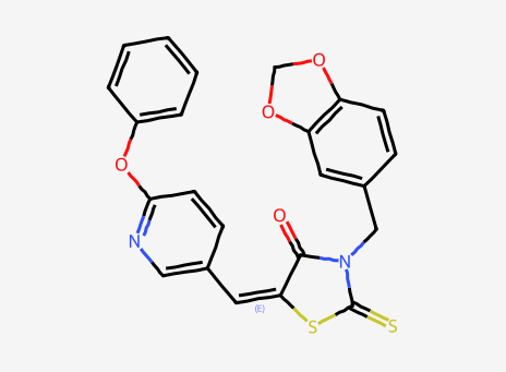 O=C1/C(=C\c2ccc(Oc3ccccc3)nc2)SC(=S)N1Cc1ccc2c(c1)OCO2